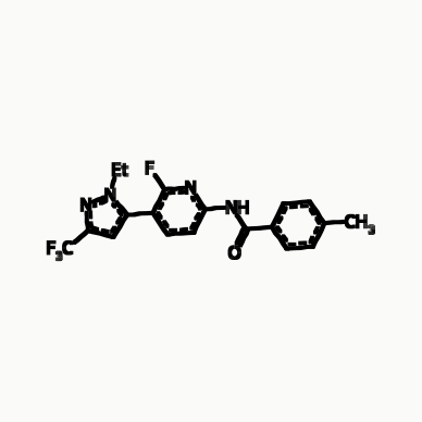 CCn1nc(C(F)(F)F)cc1-c1ccc(NC(=O)c2ccc(C)cc2)nc1F